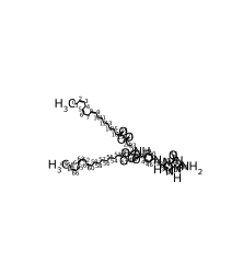 CC/C=C\C/C=C\C/C=C\CCCCCCCC(=O)OC(=O)CC[C@H](NC(=O)c1ccc(NCc2cnc3[nH]c(N)nc(=O)c3n2)cc1)C(=O)OC(=O)CCCCCCC/C=C\C/C=C\C/C=C\CC